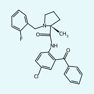 C[C@]1(C(=O)Nc2ccc(Cl)cc2C(=O)c2ccccc2)CCCN1Cc1ccccc1F